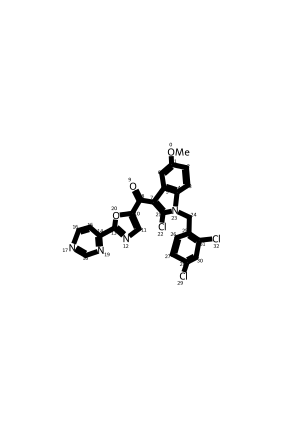 COc1ccc2c(c1)c(C(=O)c1cnc(-c3ccncn3)o1)c(Cl)n2Cc1ccc(Cl)cc1Cl